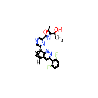 Cc1oc(-c2cncc([C@]34CC[C@@H](c5cc(-c6c(F)cccc6F)nnc53)C4(C)C)n2)nc1C(O)C(F)(F)F